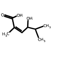 CC(=CC(O)C(C)C)C(=O)O